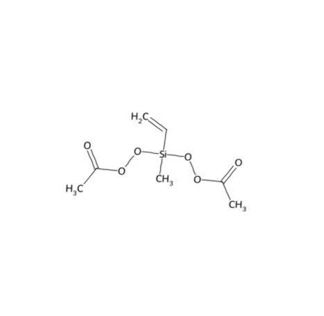 C=C[Si](C)(OOC(C)=O)OOC(C)=O